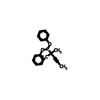 CC#CC(C)(C)P(Oc1ccccc1)Oc1ccccc1